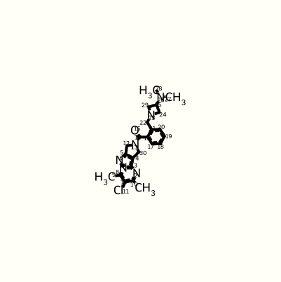 Cc1nc2c3c(nn2c(C)c1Cl)CN(C(=O)c1ccccc1CN1CC(N(C)C)C1)C3